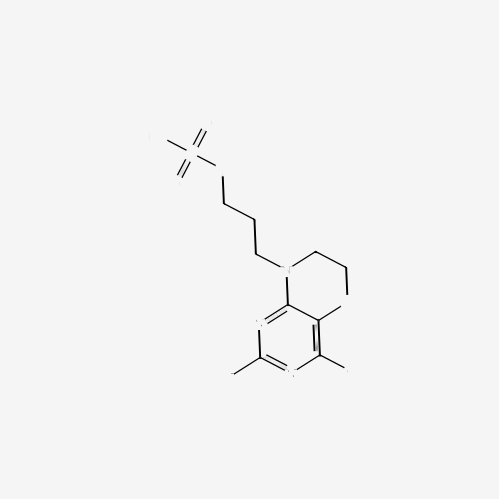 CS(=O)(=O)OCCCN1CCOc2c(Cl)nc(Cl)nc21